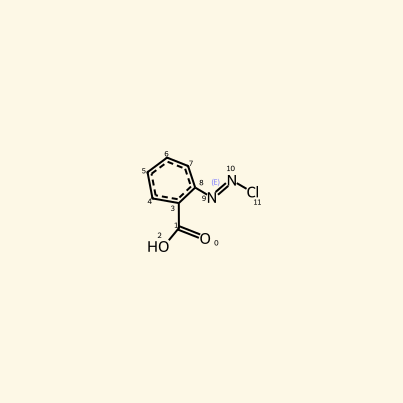 O=C(O)c1ccccc1/N=N/Cl